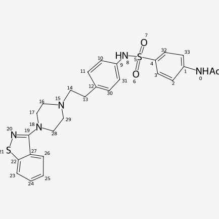 CC(=O)Nc1ccc(S(=O)(=O)Nc2ccc(CCN3CCN(c4nsc5ccccc45)CC3)cc2)cc1